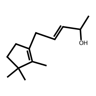 CC1=C(CC=CC(C)O)CCC1(C)C